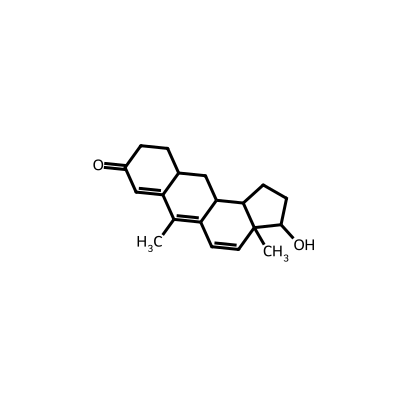 CC1=C2C=CC3(C)C(O)CCC3C2CC2CCC(=O)C=C12